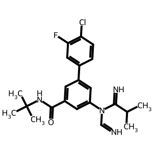 CC(C)C(=N)N(C=N)c1cc(C(=O)NC(C)(C)C)cc(-c2ccc(Cl)c(F)c2)c1